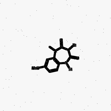 CCC1C(=O)N(C)c2cc(OC)ccc2N(CC)C1=O